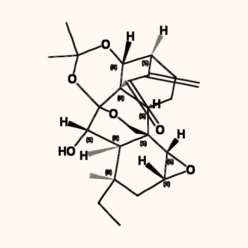 C=C1C(=O)[C@@]23[C@@H]4OC(C)(C)OC25OC[C@]2([C@@H]6O[C@@H]6C[C@@](C)(CC)[C@H]2[C@@H]5O)[C@@H]3CC[C@@H]14